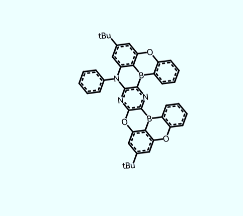 CC(C)(C)c1cc2c3c(c1)Oc1nc4c(nc1B3c1ccccc1O2)B1c2ccccc2Oc2cc(C(C)(C)C)cc(c21)N4c1ccccc1